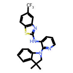 CC1(C)CN(c2ncccc2Nc2nc3cc(C(F)(F)F)ccc3s2)c2ccccc21